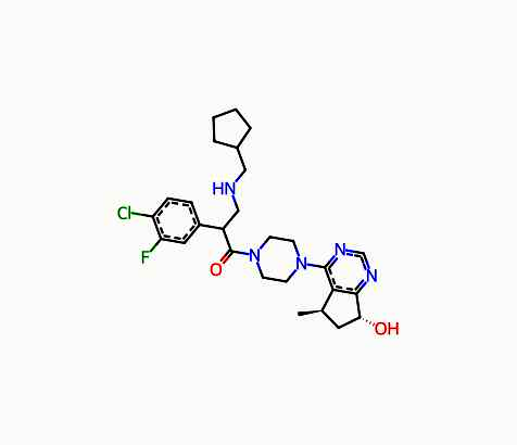 C[C@@H]1C[C@@H](O)c2ncnc(N3CCN(C(=O)C(CNCC4CCCC4)c4ccc(Cl)c(F)c4)CC3)c21